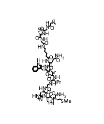 CSCC[C@H](NC(=O)[C@H](CC(C)C)NC(=O)[C@H](Cc1cnc[nH]1)NC(=O)CNC(=O)[C@@H](NC(=O)[C@H](C)NC(=O)[C@H](Cc1c[nH]c2ccccc12)NC(=O)[C@H](CCC(N)=O)NC(=O)CCCCNC(=O)CNC(=O)[C@H](CS)NC(=O)CNC(=O)CN(C)C)C(C)C)C(N)=O